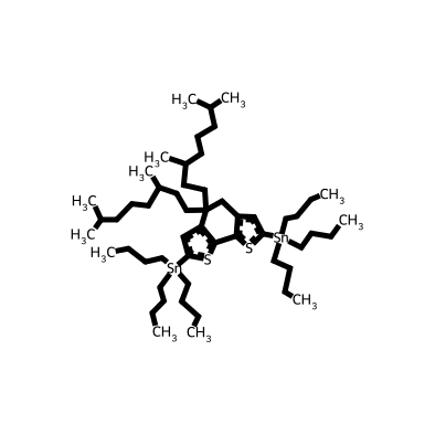 CCC[CH2][Sn]([CH2]CCC)([CH2]CCC)[c]1cc2c(s1)-c1s[c]([Sn]([CH2]CCC)([CH2]CCC)[CH2]CCC)cc1C(CCC(C)CCCC(C)C)(CCC(C)CCCC(C)C)C2